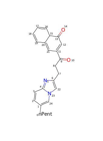 CCCCCc1ccc2nc(CCC(=O)C3=CC(=O)C4C=CC=CC4=C3)cn2c1